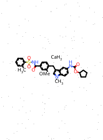 COc1cc(C(=O)NS(=O)(=O)c2ccccc2C)ccc1Cc1cn(C)c2ccc(NC(=O)OC3CCCC3)cc12.[CaH2]